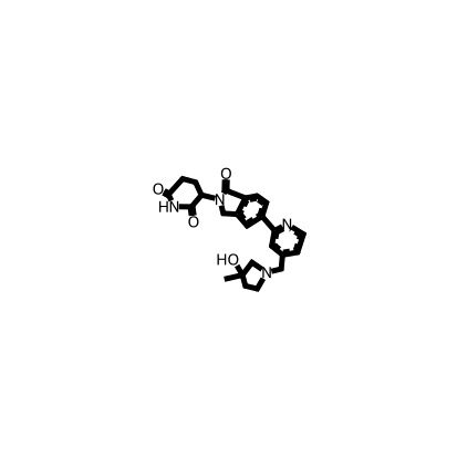 CC1(O)CCN(Cc2ccnc(-c3ccc4c(c3)CN(C3CCC(=O)NC3=O)C4=O)c2)C1